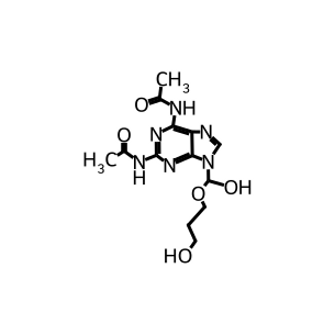 CC(=O)Nc1nc(NC(C)=O)c2ncn(C(O)OCCCO)c2n1